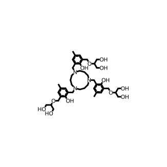 Cc1cc(COC(CO)CO)c(O)c(CN2CCCN(Cc3cc(C)cc(COC(CO)CO)c3O)CCCN(Cc3cc(C)cc(COC(CO)CO)c3O)CCC2)c1